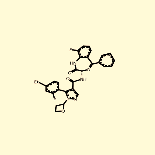 CCc1ccc(-c2c(C(=O)N[C@H]3N=C(c4ccccc4)c4cccc(F)c4NC3=O)cnn2C2CCO2)c(F)c1